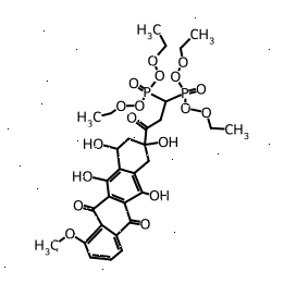 CCOOP(=O)(OOCC)C(CC(=O)C1(O)Cc2c(O)c3c(c(O)c2C(O)C1)C(=O)c1c(OC)cccc1C3=O)P(=O)(OOCC)OOCC